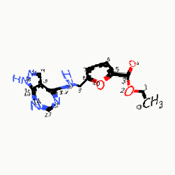 CCOC(=O)c1ccc(CNc2ncnc3[nH]ncc23)o1